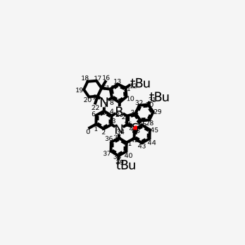 Cc1cc2c3c(c1)N1c4c(cc(C(C)(C)C)cc4C4(C)CCCCC14C)B3c1c(sc3ccc(C(C)(C)C)cc13)N2c1ccc(C(C)(C)C)cc1-c1ccccc1